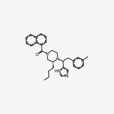 CCCC[C@H]1CN(C(=O)c2cccc3ccccc23)CCN1C(Cc1cccc(C)c1)c1cnc[nH]1